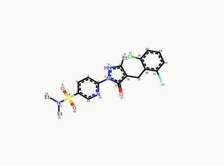 CCc1[nH]n(-c2ccc(S(=O)(=O)N(CC)CC)cn2)c(=O)c1Cc1c(F)cccc1Cl